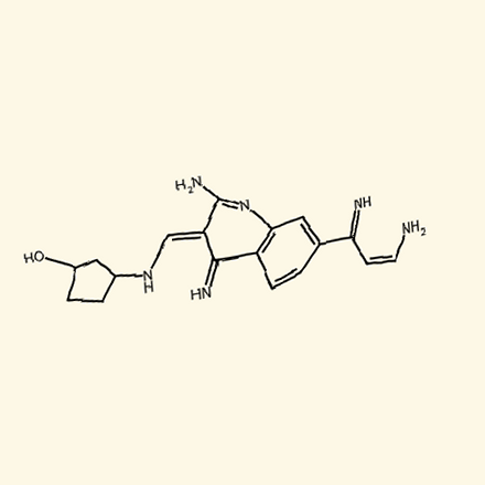 N=C(/C=C\N)c1ccc2c(c1)N=C(N)/C(=C/NC1CCC(O)C1)C2=N